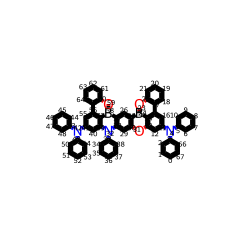 c1ccc(N(c2ccccc2)c2cc3c4c(c2)-c2ccccc2OB4c2cc4c(cc2O3)N(c2ccccc2)c2cc(N(c3ccccc3)c3ccccc3)cc3c2B4Oc2ccccc2-3)cc1